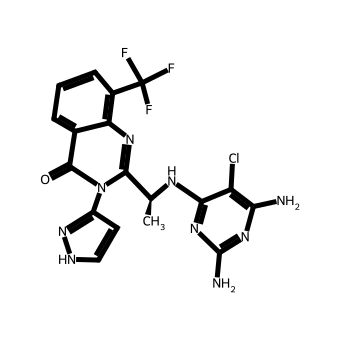 C[C@H](Nc1nc(N)nc(N)c1Cl)c1nc2c(C(F)(F)F)cccc2c(=O)n1-c1cc[nH]n1